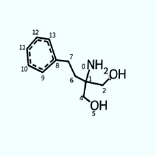 NC(CO)(CO)CCc1ccccc1